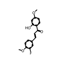 COc1ccc(C(=O)/C=C/c2ccc(OC)c(F)c2)c(O)c1